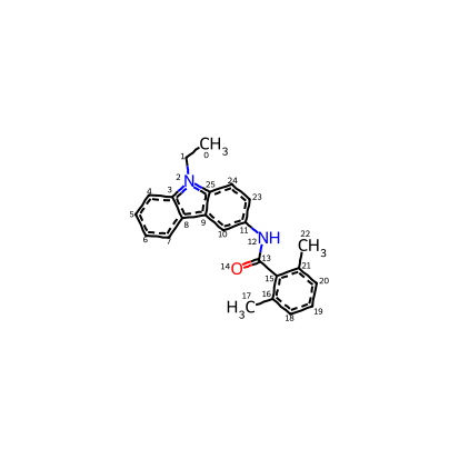 CCn1c2ccccc2c2cc(NC(=O)c3c(C)cccc3C)ccc21